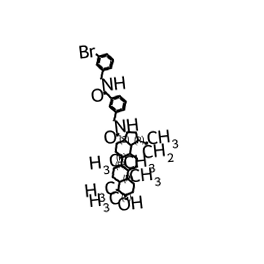 C=C(C)[C@@H]1CC[C@]2(C(=O)NCc3cccc(C(=O)NCc4cccc(Br)c4)c3)CC[C@]3(C)C(CCC4[C@@]5(C)CC[C@H](O)C(C)(C)C5CC[C@]43C)C12